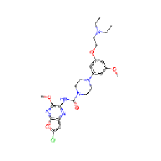 CCN(CC)CCOc1cc(OC)cc(N2CCN(C(=O)Nc3nc4cc(Cl)oc4nc3OC)CC2)c1